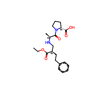 CCOC(=O)[C@H](CCc1ccccc1)CN[C@@H](C)C(=O)N1CCC[C@@H]1C(=O)O